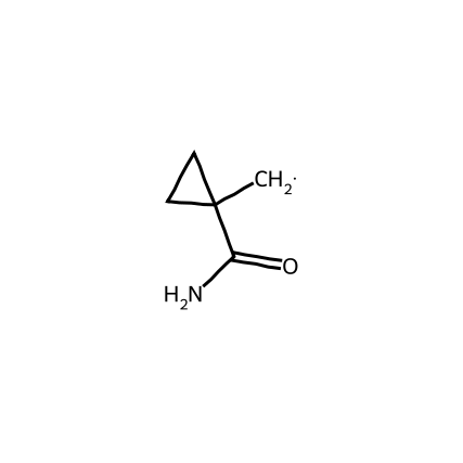 [CH2]C1(C(N)=O)CC1